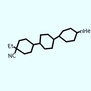 CCCCCCC1CCC(C2CCC(C3CCC(C#N)(CC)CC3)CC2)CC1